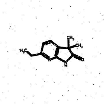 CCc1ccc2c(n1)NC(=O)C2(C)C